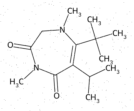 CC(C)C1=C(C(C)(C)C)N(C)CC(=O)N(C)C1=O